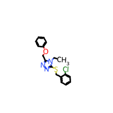 CCn1c(COc2ccccc2)nnc1SCc1ccccc1Cl